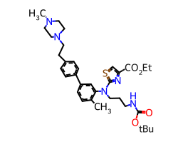 CCOC(=O)c1csc(N(CCCNC(=O)OC(C)(C)C)c2cc(-c3ccc(CCN4CCN(C)CC4)cc3)ccc2C)n1